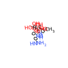 COc1ccc(NC(=O)C(Nc2cccc(C(=N)N)c2)c2ccccc2OC2OC(CO)C(O)C(O)C2O)cc1OC